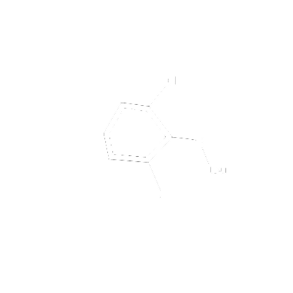 CC(C)(C)Oc1c(Cl)cccc1Cl